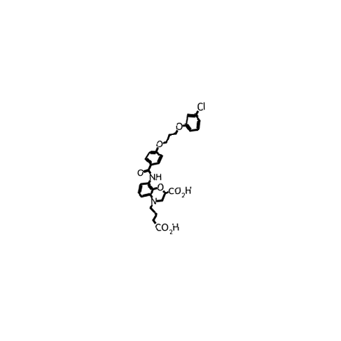 O=C(O)CCCN1CC(C(=O)O)Oc2c(NC(=O)c3ccc(OCCCOc4cccc(Cl)c4)cc3)cccc21